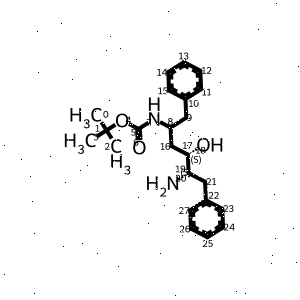 CC(C)(C)OC(=O)NC(Cc1ccccc1)C[C@H](O)[C@@H](N)Cc1ccccc1